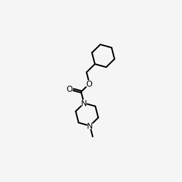 CN1CCN(C(=O)OCC2CCCCC2)CC1